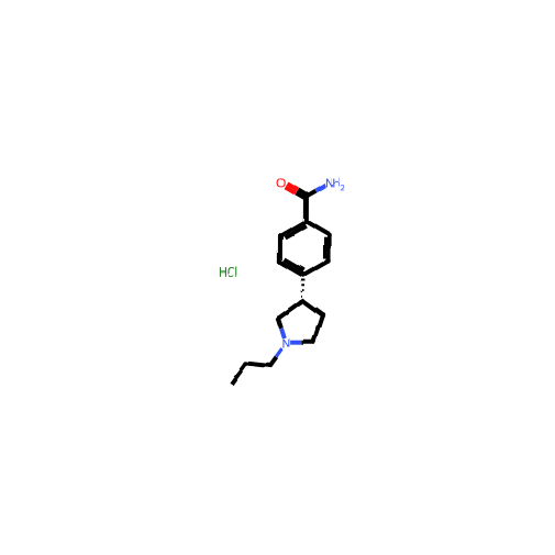 CCCN1CC[C@@H](c2ccc(C(N)=O)cc2)C1.Cl